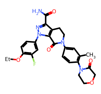 CCOc1ccc(-n2nc(C(N)=O)c3c2C(=O)N(c2ccc(N4CCOCC4=O)c(C)c2)CC3)cc1F